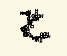 N#Cc1cncc(COc2cc(OCc3cccc(-c4cccc(OCCCn5cc(CNC(CO)C(=O)O)nn5)c4Cl)c3Cl)c(Cl)cc2CNC(CO)C(=O)O)c1